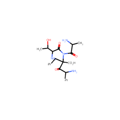 CC(C)CC(C(=O)O)(C(=O)C(N)C(C)C)N(C(=O)C(C)N)C(=O)C(N)C(C)O